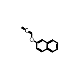 C=C=COc1ccc2ccccc2c1